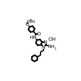 CCCCOc1ccc(C(=O)Nc2ccc3c(c2)nc(N)n3CCCc2ccccc2)cc1.Cl